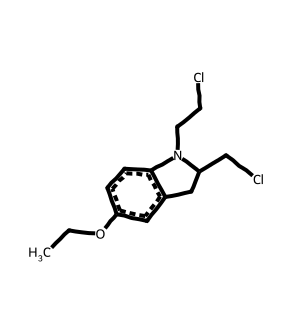 CCOc1ccc2c(c1)CC(CCl)N2CCCl